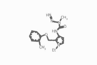 CCn1ccc(NC(=O)N(C)N=N)c1COc1ccccc1C